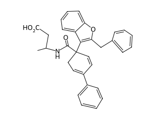 CC(CC(=O)O)NC(=O)C1(c2c(Cc3ccccc3)oc3ccccc23)C=CC(c2ccccc2)=CC1